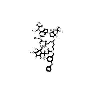 CC1=C(C)C(=O)C(C(C)(C)CC(=O)N(CCCN(CC[C@H](NC(=O)OC(C)(C)C)C(=O)O)C[C@H]2C[C@@H](n3ccc4c(N(C)C(=O)OC(C)(C)C)ncnc43)[C@@H]3OC(C)(C)O[C@H]23)Cc2cccc(Oc3ccccc3)c2)=C(C)C1=O